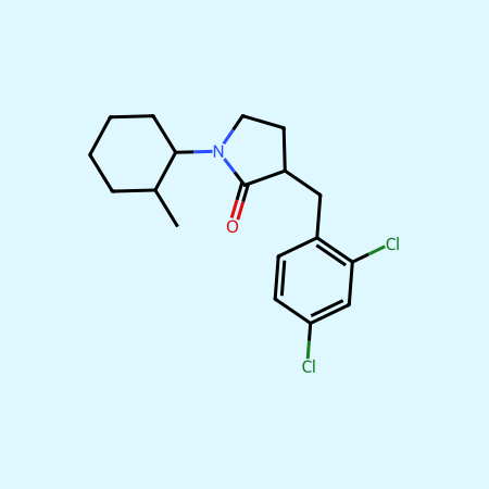 CC1CCCCC1N1CCC(Cc2ccc(Cl)cc2Cl)C1=O